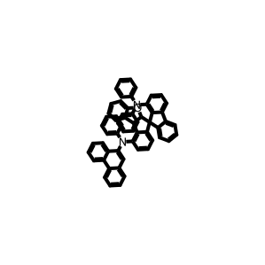 c1ccc(N(c2ccccc2)c2cccc3c2C2(c4ccccc4-3)c3cccc(N(c4ccccc4)c4cc5ccccc5c5ccccc45)c3C3c4ccccc4OC32)cc1